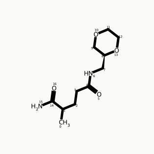 CC(C[CH]C(=O)NC[C@H]1COCCO1)C(N)=O